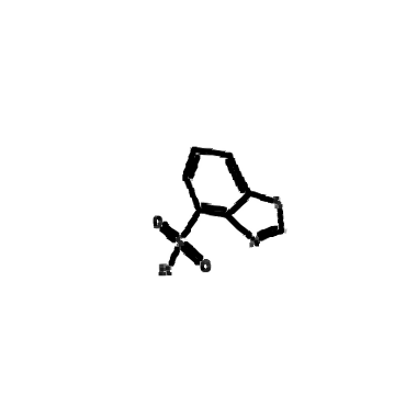 CCS(=O)(=O)c1cccc2s[c]nc12